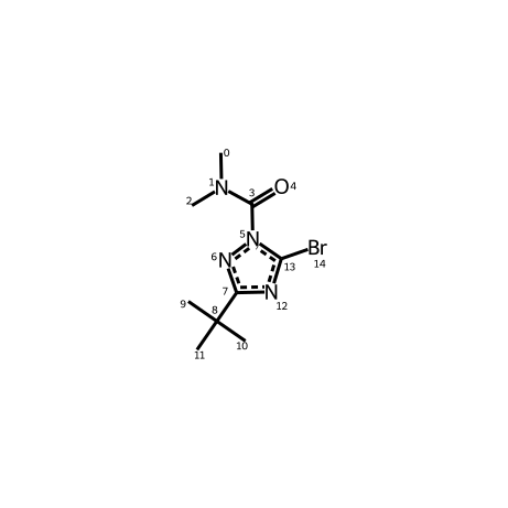 CN(C)C(=O)n1nc(C(C)(C)C)nc1Br